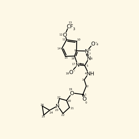 O=C(CCNc1n[n+]([O-])c2cc(OC(F)(F)F)ccc2[n+]1[O-])OC1CCN(C2CC2)C1